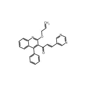 C=CCOc1nc2ccccc2c(-c2ccccc2)c1C(=O)/C=C/c1cncnc1